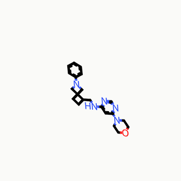 c1ccc(N2CC3(CCC3CNc3cc(N4CCOCC4)ncn3)C2)cc1